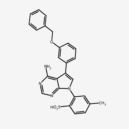 Cc1ccc(S(=O)(=O)O)c(-n2cc(-c3cccc(OCc4ccccc4)c3)c3c(N)ncnc32)c1